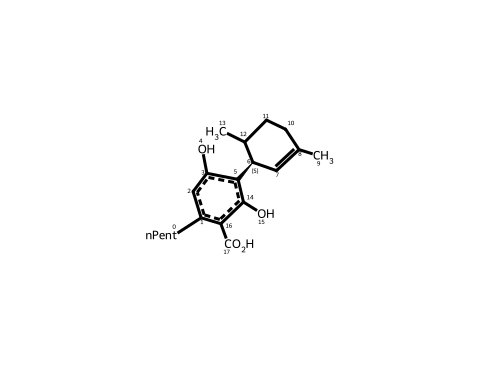 CCCCCc1cc(O)c([C@@H]2C=C(C)CCC2C)c(O)c1C(=O)O